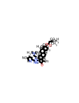 CC(C)C1=C2[C@H]3CC[C@@H]4[C@@]5(C)CC[C@H](OC(=O)CC(C)(C)C(=O)O)C(C)(C)[C@@H]5CC[C@@]4(C)[C@]3(C)CC[C@@]2(c2nnc(-c3ccc(C#N)cn3)n2CCN(C)C)CC1=O